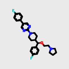 Fc1ccc(-c2cnc(N3CCC(C(OCCN4CCCC4)c4ccc(F)cc4)CC3)nc2)cc1